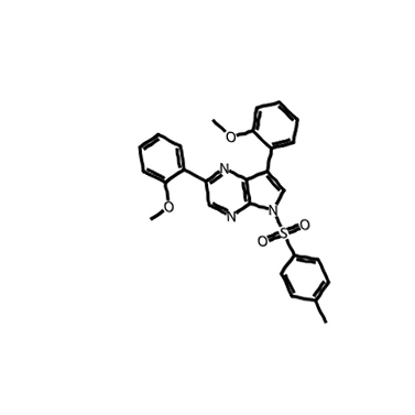 COc1ccccc1-c1cnc2c(n1)c(-c1ccccc1OC)cn2S(=O)(=O)c1ccc(C)cc1